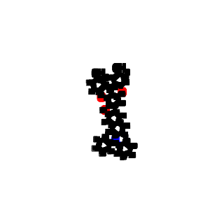 Cc1ccc2c(c1)B1c3cc(C)ccc3Oc3c1c(cc1c3oc3cc4cc(N(c5ccccc5)c5ccccc5)ccc4cc31)O2